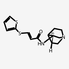 O=C(C=CSc1cccs1)N[C@H]1CN2CCC1CC2